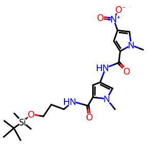 Cn1cc(NC(=O)c2cc([N+](=O)[O-])cn2C)cc1C(=O)NCCCO[Si](C)(C)C(C)(C)C